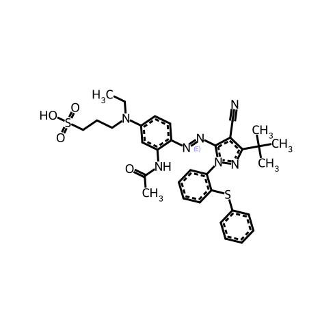 CCN(CCCS(=O)(=O)O)c1ccc(/N=N/c2c(C#N)c(C(C)(C)C)nn2-c2ccccc2Sc2ccccc2)c(NC(C)=O)c1